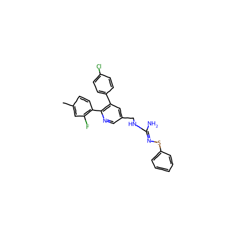 Cc1ccc(-c2ncc(CN/C(N)=N/Sc3ccccc3)cc2-c2ccc(Cl)cc2)c(F)c1